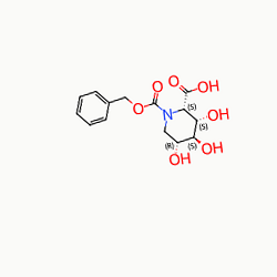 O=C(O)[C@@H]1[C@H](O)[C@@H](O)[C@H](O)CN1C(=O)OCc1ccccc1